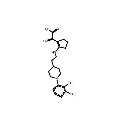 CC(=O)C(=N)C1=C(NCCC2CCN(c3cccc(C)c3C)CC2)CCC1